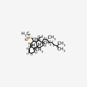 CC(C)CCC[C@@H](C)[C@H]1CC[C@H]2[C@@H]3C(C[S+](C)[O-])C=C4C=CCC[C@]4(C)[C@H]3CC[C@]12C